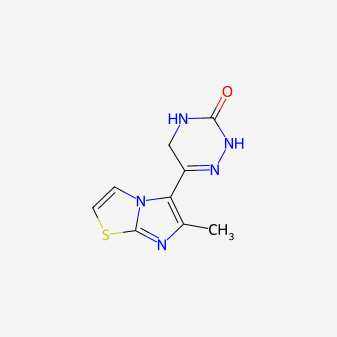 Cc1nc2sccn2c1C1=NNC(=O)NC1